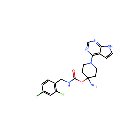 NC1(OC(=O)NCc2ccc(Cl)cc2F)CCN(c2ncnc3[nH]ccc23)CC1